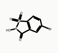 O=C1c2cc(Br)ccc2S(=O)(=O)N1O